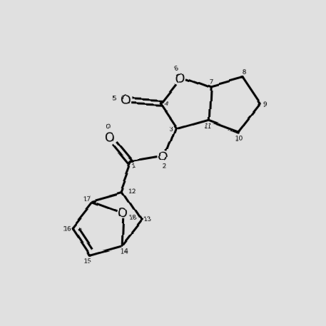 O=C(OC1C(=O)OC2CCCC21)C1CC2C=CC1O2